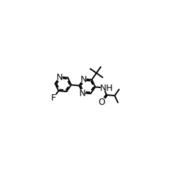 CC(C)C(=O)Nc1cnc(-c2cncc(F)c2)nc1C(C)(C)C